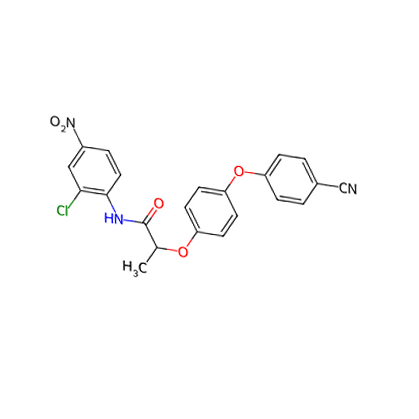 CC(Oc1ccc(Oc2ccc(C#N)cc2)cc1)C(=O)Nc1ccc([N+](=O)[O-])cc1Cl